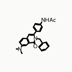 CC(=O)Nc1ccc(-c2cc3ccc(N(C)C)cc3c(=O)n2Cc2ccccc2)cc1